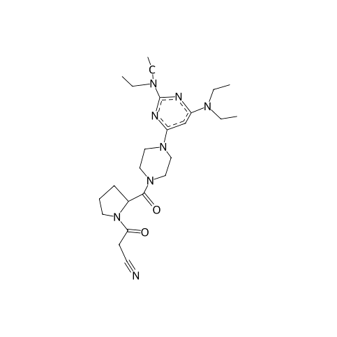 CCN(CC)c1cc(N2CCN(C(=O)C3CCCN3C(=O)CC#N)CC2)nc(N(CC)CC)n1